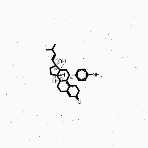 CC(C)/C=C/[C@]1(O)CC[C@H]2[C@@H]3CCC4=CC(=O)CCC4=C3[C@@H](c3ccc(N)cc3)C[C@@]21C